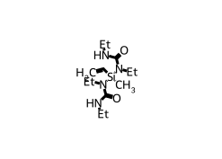 C=C[Si](C)(N(CC)C(=O)NCC)N(CC)C(=O)NCC